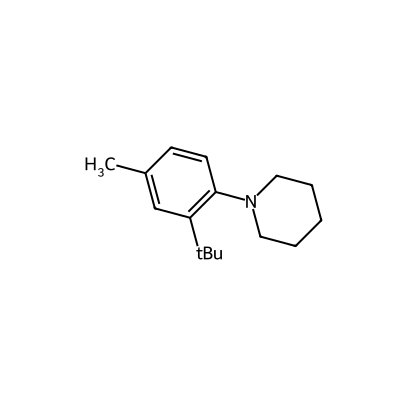 Cc1ccc(N2CCCCC2)c(C(C)(C)C)c1